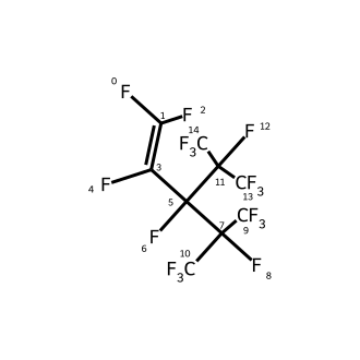 FC(F)=C(F)C(F)(C(F)(C(F)(F)F)C(F)(F)F)C(F)(C(F)(F)F)C(F)(F)F